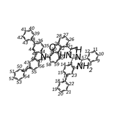 C=C(NC(NC(N)c1ccccc1)c1ccc(-c2ccccc2)cc1)c1cccc2oc3c(-n4c5ccc(-c6ccccc6)cc5c5cc(-c6ccccc6)ccc54)cccc3c12